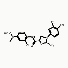 CN(C(=O)O)c1ccc(NC(=O)[C@@H]2CN(c3ccc(C#N)c(C(F)(F)F)c3)[C@@H](C(F)(F)F)O2)c(Cl)c1